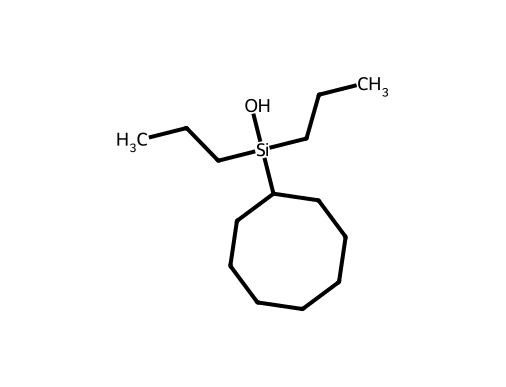 CCC[Si](O)(CCC)C1CCCCCCC1